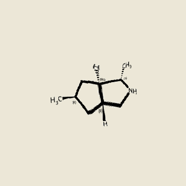 C[C@@H]1C[C@H]2CN[C@@H](C)[C@@H]2C1